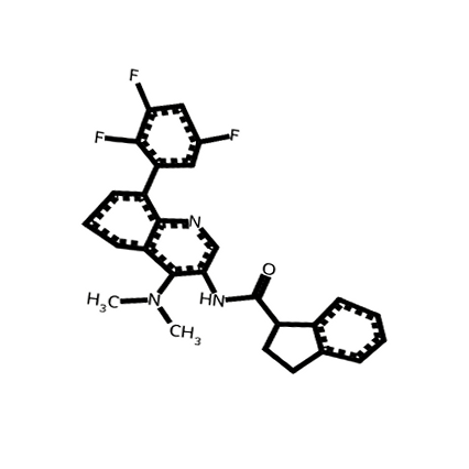 CN(C)c1c(NC(=O)C2CCc3ccccc32)cnc2c(-c3cc(F)cc(F)c3F)cccc12